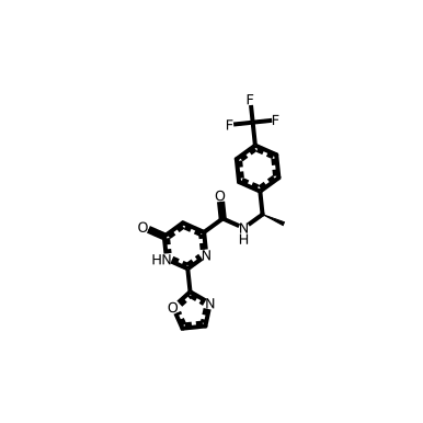 C[C@@H](NC(=O)c1cc(=O)[nH]c(-c2ncco2)n1)c1ccc(C(F)(F)F)cc1